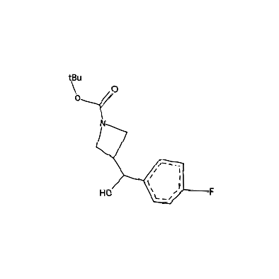 CC(C)(C)OC(=O)N1CC(C(O)c2ccc(F)cc2)C1